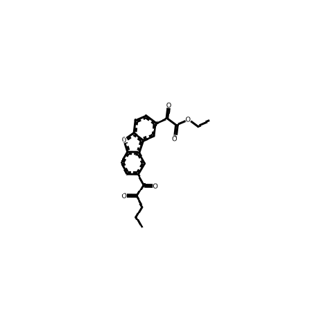 CCCC(=O)C(=O)c1ccc2oc3ccc(C(=O)C(=O)OCC)cc3c2c1